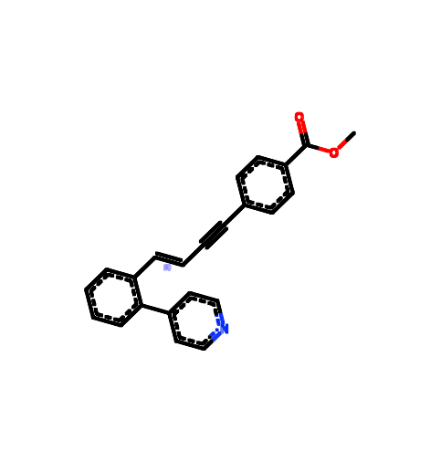 COC(=O)c1ccc(C#C/C=C/c2ccccc2-c2ccncc2)cc1